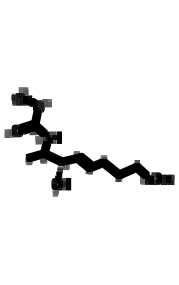 CCCCCCCCCCCCC/C=C/[C@H](O)C(C)NC(=O)OC(C)(C)C